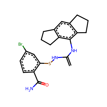 C=C(NSc1cc(Br)ccc1C(N)=O)Nc1c2c(cc3c1CCC3)CCC2